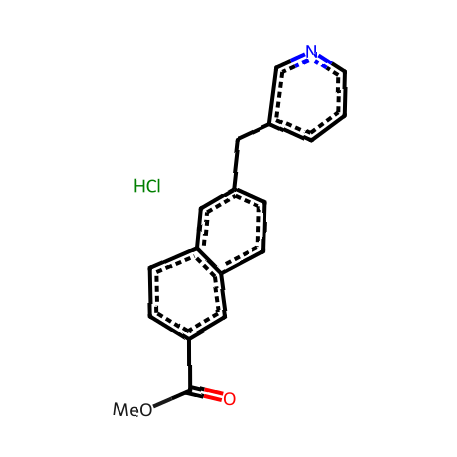 COC(=O)c1ccc2cc(Cc3cccnc3)ccc2c1.Cl